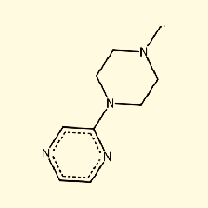 [CH2]N1CCN(c2cnccn2)CC1